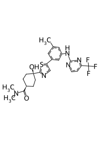 Cc1cc(Nc2nccc(C(F)(F)F)n2)cc(-c2cnc([C@]3(O)CC[C@@H](C(=O)N(C)C)CC3)s2)c1